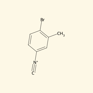 [C-]#[N+]c1ccc(Br)c(C)c1